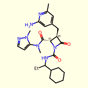 CCC(NC(=O)N1C(=O)[C@H](Cc2cc(C)nc(N)c2)[C@H]1C(=O)N(C)c1ccnn1C)C1CCCCC1